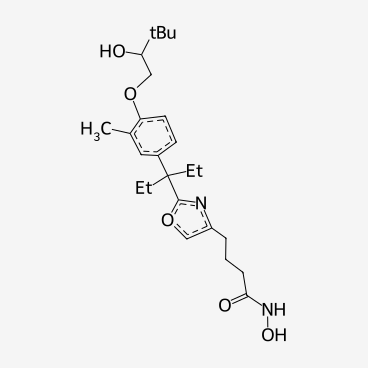 CCC(CC)(c1ccc(OCC(O)C(C)(C)C)c(C)c1)c1nc(CCCC(=O)NO)co1